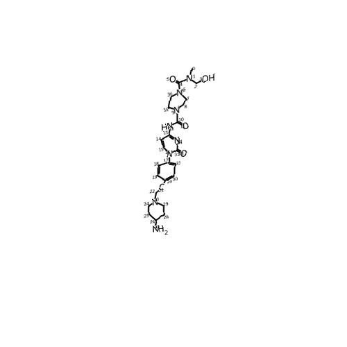 CN(CO)C(=O)N1CCN(C(=O)Nc2ccn(-c3ccc(CCN4CCC(N)CC4)cc3)c(=O)n2)CC1